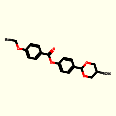 CCCCCCCCCCC1COC(c2ccc(OC(=O)c3ccc(OCC(C)CC)cc3)cc2)OC1